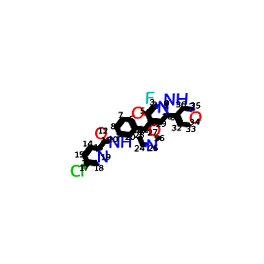 NN1C(F)=C2Oc3ccc(NC(=O)c4ccc(Cl)cn4)cc3[C@@]3(CCN=CO3)C2=CC1C1=CCOCC1